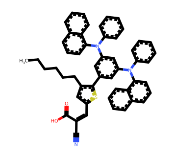 CCCCCCc1cc(/C=C(/C#N)C(=O)O)sc1-c1cc(N(c2ccccc2)c2cccc3ccccc23)cc(N(c2ccccc2)c2cccc3ccccc23)c1